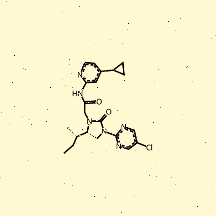 CC[C@H](C)[C@H]1CN(c2ncc(Cl)cn2)C(=O)N1CC(=O)Nc1cc(C2CC2)ccn1